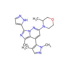 Cc1cnn(C)c1-c1cc(N2CCOCC2C)nn2c(-c3ccn[nH]3)nc(C)c12